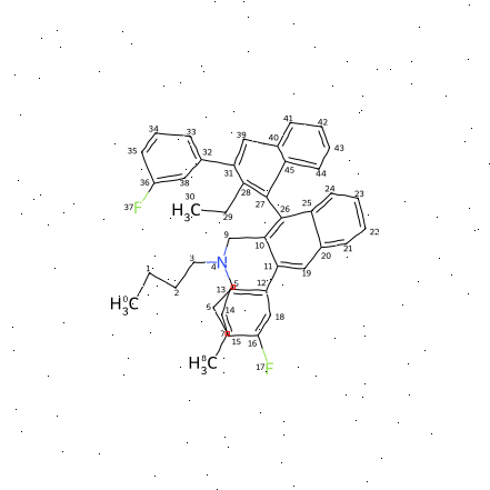 CCCCN(CCCC)Cc1c(-c2cccc(F)c2)cc2ccccc2c1-c1c(CC)c(-c2cccc(F)c2)cc2ccccc12